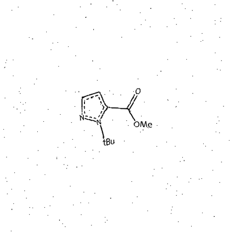 COC(=O)c1ccnn1C(C)(C)C